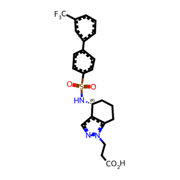 O=C(O)CCn1ncc2c1CCC[C@H]2NS(=O)(=O)c1ccc(-c2cccc(C(F)(F)F)c2)cc1